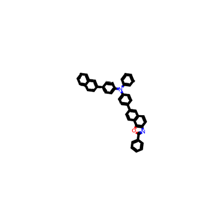 c1ccc(-c2nc3ccc4cc(-c5ccc(N(c6ccccc6)c6ccc(-c7ccc8ccccc8c7)cc6)cc5)ccc4c3o2)cc1